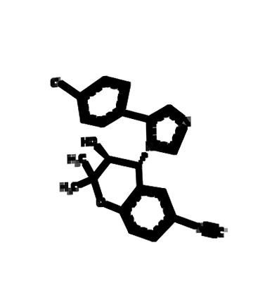 [C-]#[N+]c1ccc2c(c1)[C@@H](n1cncc1-c1ccc(Cl)cc1)[C@H](O)C(C)(C)O2